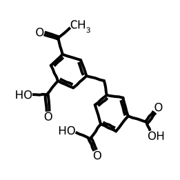 CC(=O)c1cc(Cc2cc(C(=O)O)cc(C(=O)O)c2)cc(C(=O)O)c1